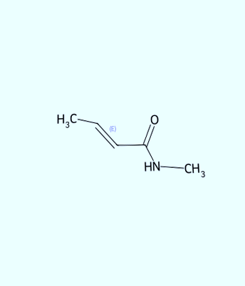 C/C=C/C(=O)NC